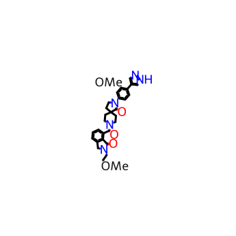 COCCN1Cc2cccc(C(=O)N3CCC4(CC3)CCN(c3ccc(-c5cn[nH]c5)c(OC)c3)C4=O)c2C1=O